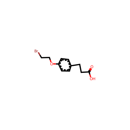 O=C(O)CCc1ccc(OCCBr)cc1